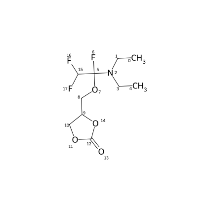 CCN(CC)C(F)(OCC1COC(=O)O1)C(F)F